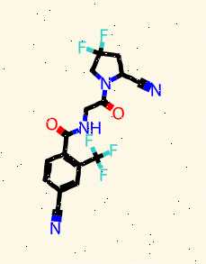 N#Cc1ccc(C(=O)NCC(=O)N2CC(F)(F)CC2C#N)c(C(F)(F)F)c1